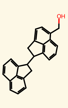 OCc1ccc2c3c(cccc13)C(C1Cc3cccc4cccc1c34)C2